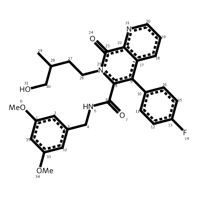 COc1cc(CNC(=O)c2c(-c3ccc(F)cc3)c3cccnc3c(=O)n2CCC(C)CO)cc(OC)c1